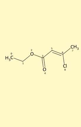 CCOC(=O)/C=C(/C)Cl